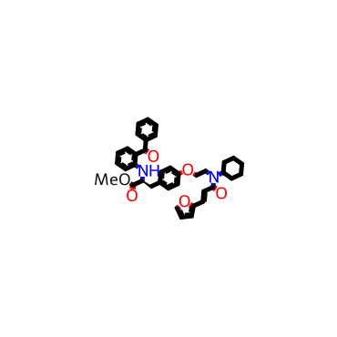 COC(=O)[C@H](Cc1ccc(OCCN(C(=O)/C=C/c2ccco2)C2CCCCC2)cc1)Nc1ccccc1C(=O)c1ccccc1